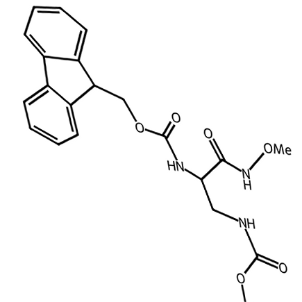 CONC(=O)C(CNC(=O)OC(C)(C)C)NC(=O)OCC1c2ccccc2-c2ccccc21